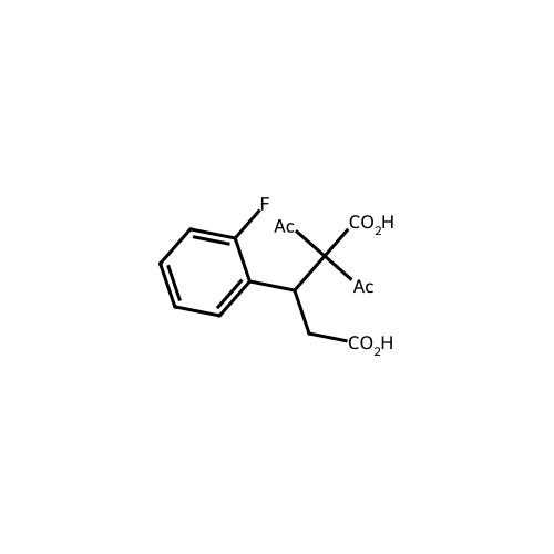 CC(=O)C(C(C)=O)(C(=O)O)C(CC(=O)O)c1ccccc1F